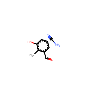 Cc1c(O)cccc1C=O.N#CN